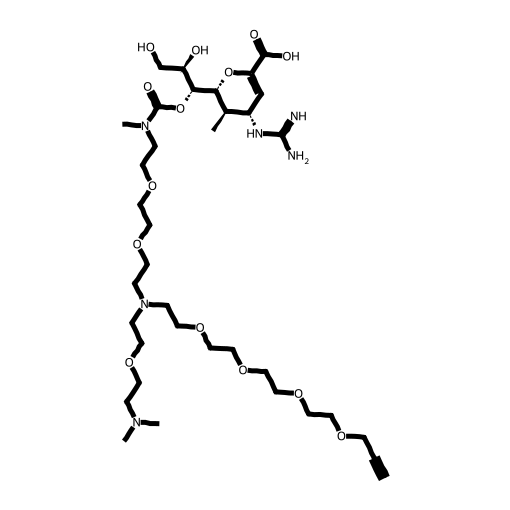 C#CCOCCOCCOCCOCCN(CCOCCOCCN(C)C(=O)O[C@@H]([C@@H]1OC(C(=O)O)=C[C@H](NC(=N)N)[C@H]1C)[C@H](O)CO)CCOCCN(C)C